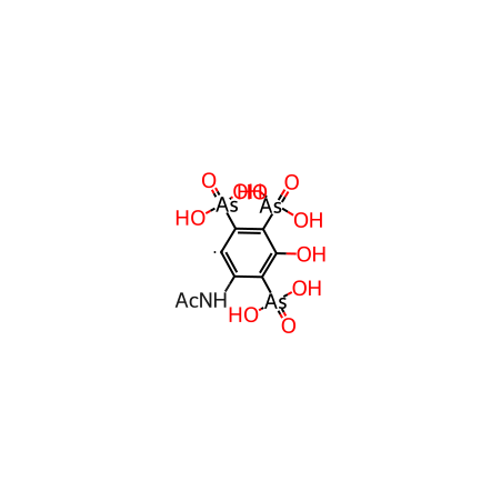 CC(=O)Nc1[c]c([As](=O)(O)O)c([As](=O)(O)O)c(O)c1[As](=O)(O)O